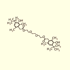 Cc1cc(C(C)(C)C)c(O)c(C)c1CC(=O)OCCOCCOCCOC(=O)Cc1c(C)cc(C(C)(C)C)c(O)c1C